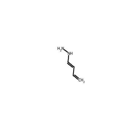 C=CC=CNN